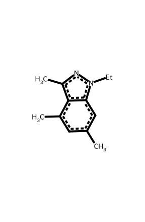 CCn1nc(C)c2c(C)cc(C)cc21